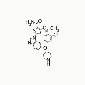 C[C@@H](Oc1cc(-n2cnc3ccc(OC4CCNCC4)cc32)sc1C(N)=O)c1ccccc1Cl